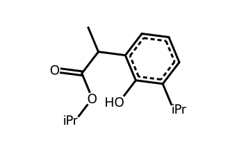 CC(C)OC(=O)C(C)c1cccc(C(C)C)c1O